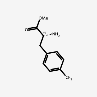 COC(=O)[C@H](N)Cc1ccc(C(F)(F)F)cc1